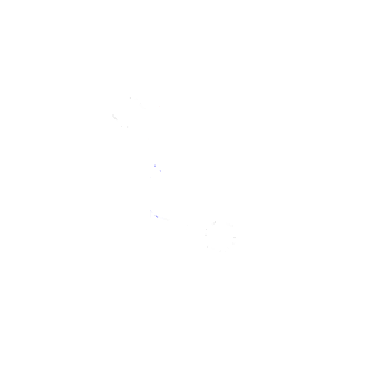 CCC(CC)C(C#N)(CCCC(N)CC1COc2ccccc2O1)c1cc(OC)c(OC)c(OC)c1